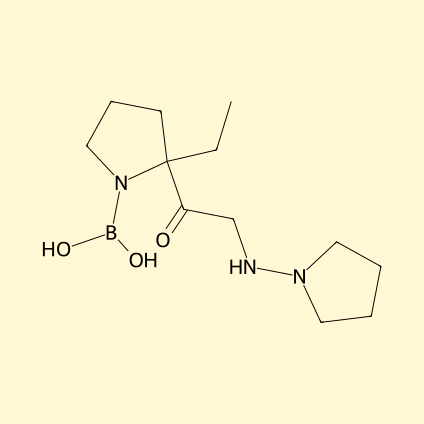 CCC1(C(=O)CNN2CCCC2)CCCN1B(O)O